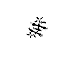 CN(C(C#N)(C#N)C(F)(F)C(C#N)(C#N)N(C)[Si](C)(C)C)[Si](C)(C)C